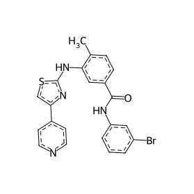 Cc1ccc(C(=O)Nc2cccc(Br)c2)cc1Nc1nc(-c2ccncc2)cs1